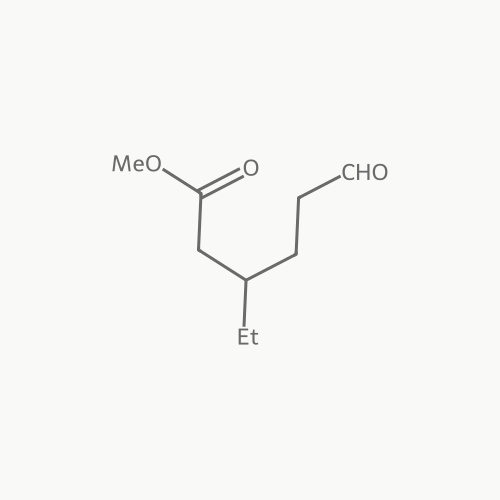 CCC(CCC=O)CC(=O)OC